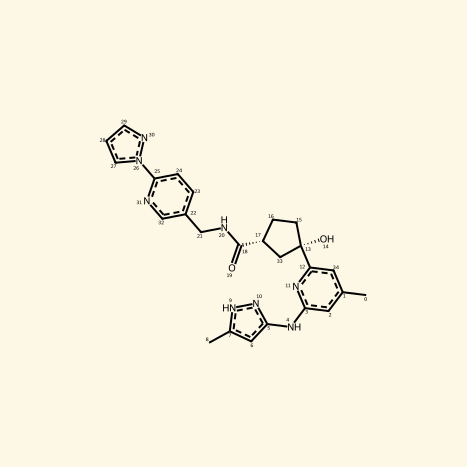 Cc1cc(Nc2cc(C)[nH]n2)nc([C@]2(O)CC[C@@H](C(=O)NCc3ccc(-n4cccn4)nc3)C2)c1